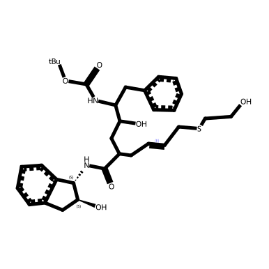 CC(C)(C)OC(=O)NC(Cc1ccccc1)C(O)CC(C/C=C/CSCCO)C(=O)N[C@H]1c2ccccc2C[C@@H]1O